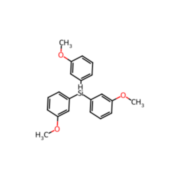 COc1cccc([SiH](c2cccc(OC)c2)c2cccc(OC)c2)c1